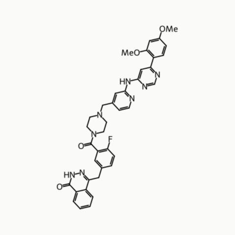 COc1ccc(-c2cc(Nc3cc(CN4CCN(C(=O)c5cc(Cc6n[nH]c(=O)c7ccccc67)ccc5F)CC4)ccn3)ncn2)c(OC)c1